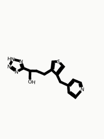 OC(CCc1cscc1Cc1ccncc1)c1nn[nH]n1